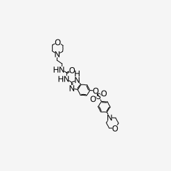 O=C(NCCN1CCOCC1)Nc1nc2ccc(OS(=O)(=O)c3ccc(N4CCOCC4)cc3)cc2[nH]1